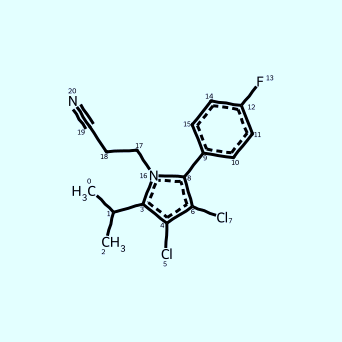 CC(C)c1c(Cl)c(Cl)c(-c2ccc(F)cc2)n1CCC#N